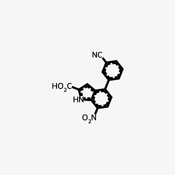 N#Cc1cccc(-c2ccc([N+](=O)[O-])c3[nH]c(C(=O)O)cc23)c1